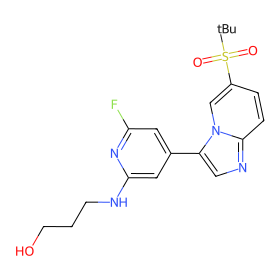 CC(C)(C)S(=O)(=O)c1ccc2ncc(-c3cc(F)nc(NCCCO)c3)n2c1